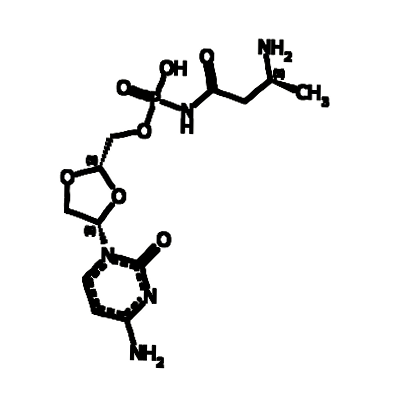 C[C@H](N)CC(=O)NP(=O)(O)OC[C@H]1OC[C@@H](n2ccc(N)nc2=O)O1